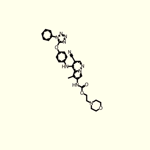 Cc1c(NC(=O)OCCN2CCOCC2)cn2ncc(C#N)c(Nc3ccc(Oc4nnnn4-c4ccccc4)cc3)c12